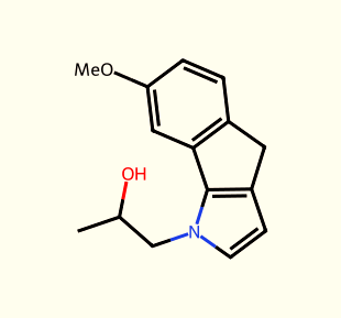 COc1ccc2c(c1)-c1c(ccn1CC(C)O)C2